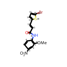 COc1cc([N+](=O)[O-])ccc1NC(=O)/C=C/c1ccc(Br)s1